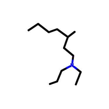 CCCCC(C)CCN(CC)CCC